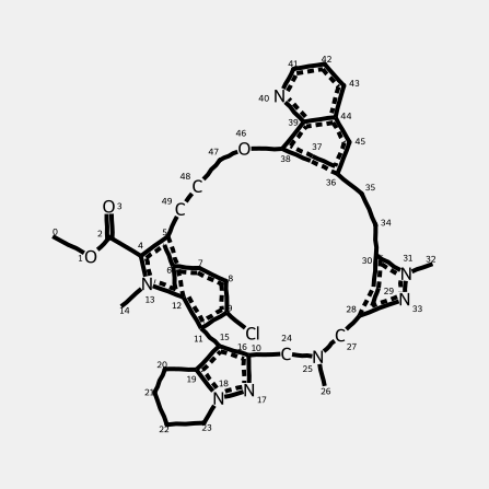 COC(=O)c1c2c3ccc(Cl)c(c3n1C)-c1c(nn3c1CCCC3)CN(C)Cc1cc(n(C)n1)CCc1cc(c3ncccc3c1)OCCC2